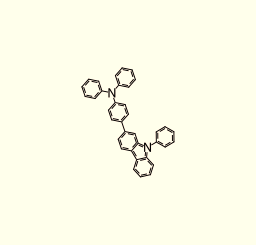 c1ccc(N(c2ccccc2)c2ccc(-c3ccc4c5ccccc5n(-c5ccccc5)c4c3)cc2)cc1